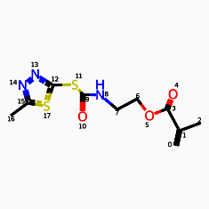 C=C(C)C(=O)OCCNC(=O)Sc1nnc(C)s1